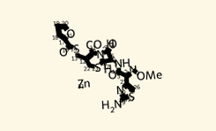 CON=C(C(=O)N[C@@H]1C(=O)N2C(C(=O)O)=C(CSC(=O)c3ccco3)CS[C@H]12)c1csc(N)n1.[Zn]